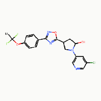 CCC(F)(F)Oc1ccc(-c2noc(C3CC(O)N(c4cncc(Cl)c4)C3)n2)cc1